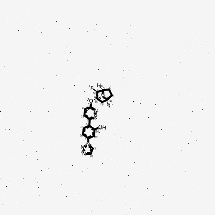 CN1[C@H]2CC[C@@H]1[C@H](F)[C@@H](Oc1ccc(-c3ccc(-n4ccnn4)cc3O)nn1)C2